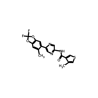 Cc1cscc1C(=O)Nc1cnc(-c2cc3c(cc2C)OC(F)(F)O3)cn1